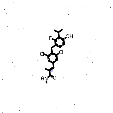 CNC(=O)/C(C)=C/c1cc(Cl)c(Cc2ccc(O)c(C(C)C)c2F)c(Cl)c1